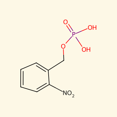 O=[N+]([O-])c1ccccc1COP(=O)(O)O